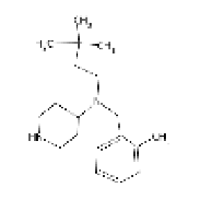 Cc1ccccc1CN(CCC(C)(C)C)C1CCNCC1